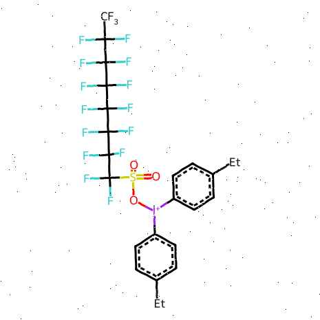 CCc1ccc([I+](OS(=O)(=O)C(F)(F)C(F)(F)C(F)(F)C(F)(F)C(F)(F)C(F)(F)C(F)(F)C(F)(F)F)c2ccc(CC)cc2)cc1